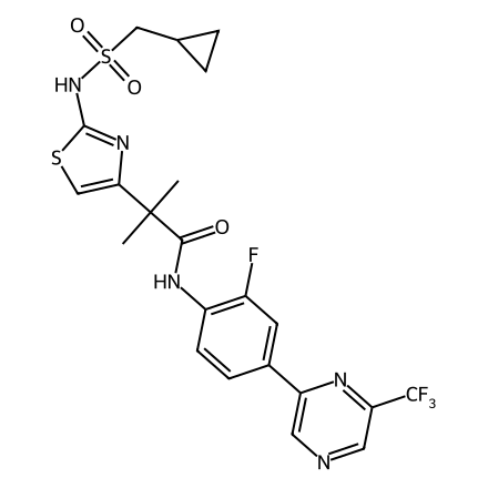 CC(C)(C(=O)Nc1ccc(-c2cncc(C(F)(F)F)n2)cc1F)c1csc(NS(=O)(=O)CC2CC2)n1